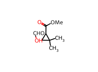 COC(=O)C1CC1(C)C.O=CO